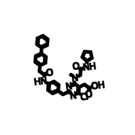 CN(CC(=O)NC1CCCC1)c1nc(Cc2ccc(NC(=O)Cc3ccc(-c4ccccc4)cc3)cc2)nc(Cl)c1CC(=O)O